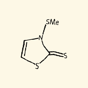 CSn1ccsc1=S